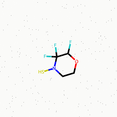 FC1OCCN(S)C1(F)F